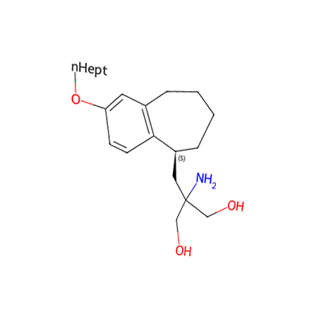 CCCCCCCOc1ccc2c(c1)CCCC[C@H]2CC(N)(CO)CO